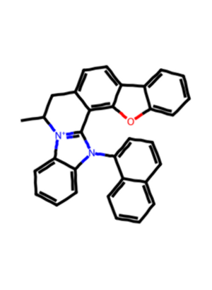 CC1Cc2ccc3c(oc4ccccc43)c2-c2n(-c3cccc4ccccc34)c3ccccc3[n+]21